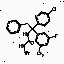 CC(C)NC(=O)NC(Cc1ccccc1)(c1cc(F)cc(C(F)(F)F)c1)c1ccc(Cl)cn1